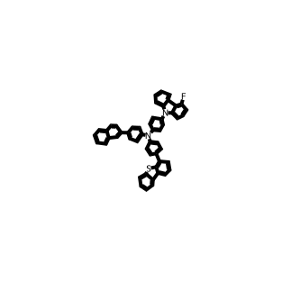 Fc1cccc2c1c1ccccc1n2-c1ccc(N(c2ccc(-c3ccc4ccccc4c3)cc2)c2ccc(-c3cccc4c3sc3ccccc34)cc2)cc1